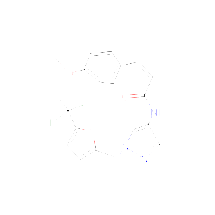 COc1ccc(/C=C\C(=O)Nc2cnn(Cc3ccc(C(C)(F)F)o3)c2)cc1